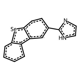 [c]1c(-c2ncc[nH]2)ccc2[se]c3ccccc3c12